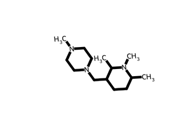 CC1CCC(CN2CCN(C)CC2)C(C)N1C